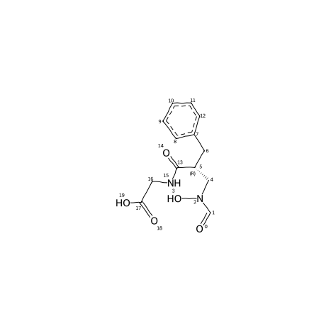 O=CN(O)C[C@@H](Cc1ccccc1)C(=O)NCC(=O)O